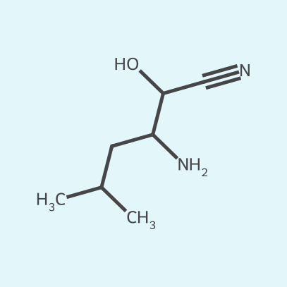 CC(C)CC(N)C(O)C#N